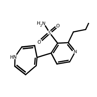 CCCc1nccc(C2=CC=CNC=C2)c1S(N)(=O)=O